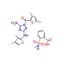 CNS(=O)(=O)c1ccccc1C(=O)O.Cc1cc(C)c(C(=O)n2nc(Nc3scc(C)c3C)nc2N)s1